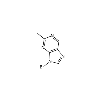 Cc1ncc2ncn(Br)c2n1